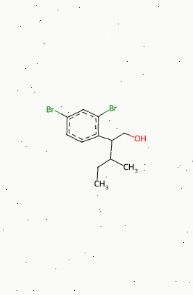 CCC(C)C(CO)c1ccc(Br)cc1Br